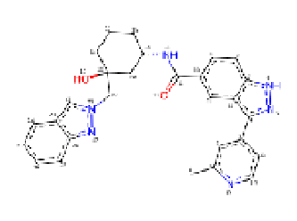 Cc1cc(-c2n[nH]c3ccc(C(=O)N[C@H]4CCC[C@@](O)(Cn5cc6ccccc6n5)C4)cc23)ccn1